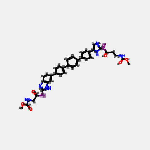 COC(=O)NCCC(=O)Pc1ncc(-c2ccc(-c3ccc(-c4ccc(-c5ccc6nc(PC(=O)CNC(=O)OC)[nH]c6c5)cc4)cc3)cc2)[nH]1